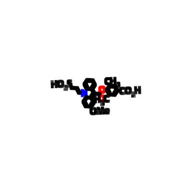 COC1=CC2=C(C(=O)Oc3c(C)cc(C(=O)O)cc3C)c3ccccc3N(CCCS(=O)(=O)O)C2C=C1